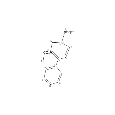 CC(=O)O.CCCCCCCc1ccc(-c2ccccc2)cc1